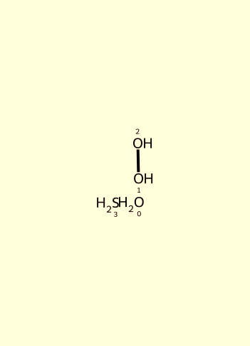 O.OO.S